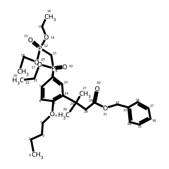 CCCCOc1ccc(P(=O)(CP(=O)(OCC)OCC)OCC)cc1C(C)(C)CC(=O)OCc1ccccc1